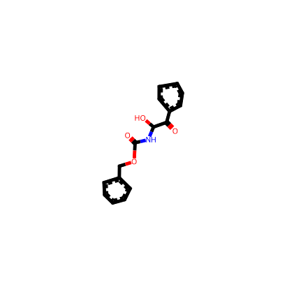 O=C(NC(O)C(=O)c1ccccc1)OCc1ccccc1